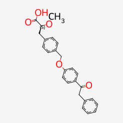 CO[C@@H](Cc1ccc(COc2ccc(C(=O)Cc3ccccc3)cc2)cc1)C(=O)O